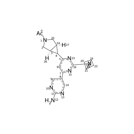 CC(=O)N1C[C@@H]2C(c3cc(-c4cnc(N)nc4)nc(N4CC5CC4C5)n3)[C@@H]2C1